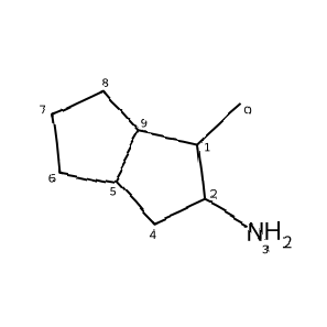 CC1C(N)CC2CCCC21